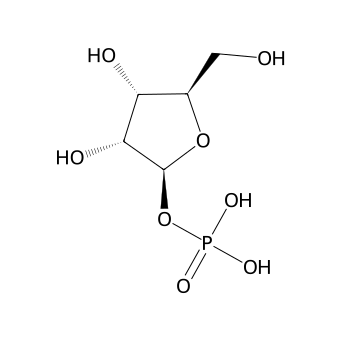 O=P(O)(O)O[C@@H]1O[C@H](CO)[C@@H](O)[C@H]1O